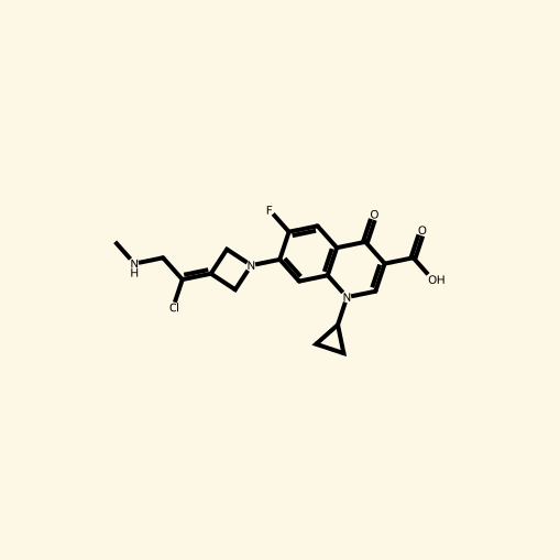 CNCC(Cl)=C1CN(c2cc3c(cc2F)c(=O)c(C(=O)O)cn3C2CC2)C1